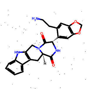 NCCc1cc2c(cc1[C@@H]1NC(=O)[C@H]3Cc4c([nH]c5ccccc45)CN3C1=O)OCO2